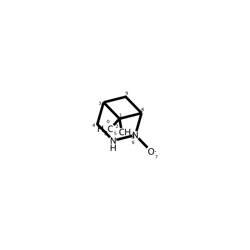 CC1(C)C2CNN([O])C1C2